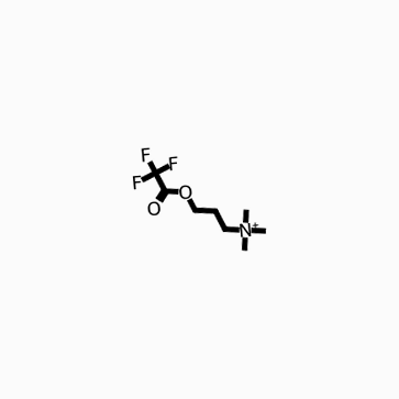 C[N+](C)(C)CCCOC(=O)C(F)(F)F